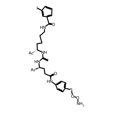 C=C(N[C@@H](CCCCNC(=O)c1cccc(I)c1)C(C)=O)N[C@@H](CCC(=O)Nc1ccc(SOON)cc1)C(C)=O